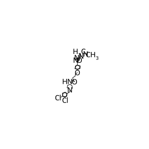 CN(C)C=Nc1nnc(-c2ccc(OCCCC(=O)NC3CCN(Cc4ccc(Cl)c(Cl)c4)CC3)cc2)o1